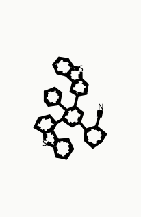 N#Cc1ccccc1-c1cc(-c2ccc3sc4ccccc4c3c2)c(-c2ccccc2)c(-c2cccc3sc4ccccc4c23)c1